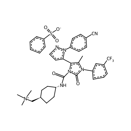 Cc1c(-c2ccnn2-c2ccc(C#N)cc2)n(C(=O)N[C@H]2CC[C@H](C[N+](C)(C)C)CC2)c(=O)n1-c1cccc(C(F)(F)F)c1.O=S(=O)([O-])c1ccccc1